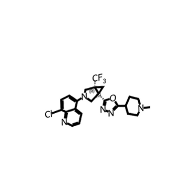 CN1CCC(c2nnc([C@]34CN(c5ccc(Cl)c6ncccc56)C[C@@]3(C(F)(F)F)C4)o2)CC1